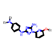 CCOc1cccc(-n2nc(Nc3ccc(N(CC)CC)cc3)nc2N)n1